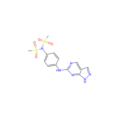 CS(=O)(=O)N(c1ccc(Nc2ncc3cn[nH]c3n2)cc1)S(C)(=O)=O